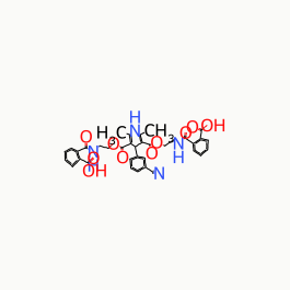 CC1=C(C(=O)OCCNC(=O)c2ccccc2C(=O)O)C(c2cccc(C#N)c2)C(C(=O)OCCNC(=O)c2ccccc2C(=O)O)=C(C)N1